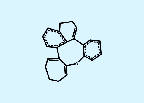 C1=C2Oc3ccccc3C3=CCCc4cccc(c43)C2=CCCC1